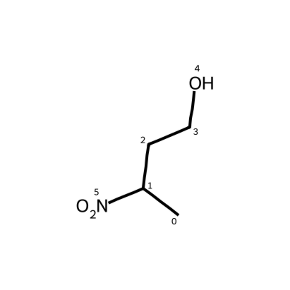 CC(CCO)[N+](=O)[O-]